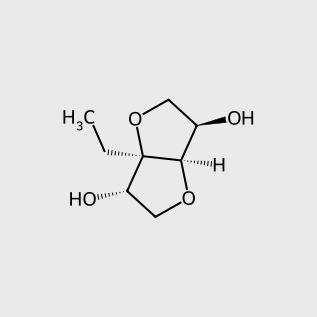 CC[C@]12OC[C@@H](O)[C@H]1OC[C@@H]2O